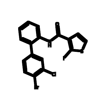 O=C(Nc1ccccc1-c1ccc(Br)c(Cl)c1)c1ccsc1I